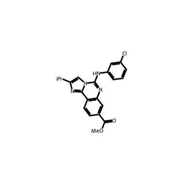 COC(=O)c1ccc2c(c1)nc(Nc1cccc(Cl)c1)n1cc(C(C)C)nc21